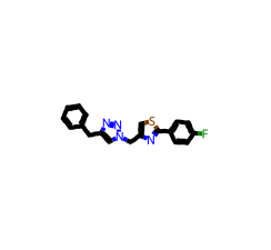 Fc1ccc(-c2nc(Cn3cc(Cc4ccccc4)nn3)cs2)cc1